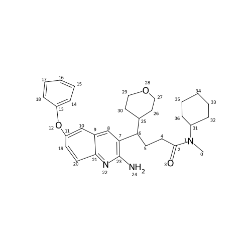 CN(C(=O)CCC(c1cc2cc(Oc3ccccc3)ccc2nc1N)C1CCOCC1)C1CCCCC1